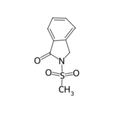 CS(=O)(=O)N1Cc2ccccc2C1=O